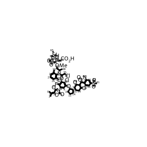 CC(C)=C1OC(=O)N(c2cc(OC3CCCC3)c(Cl)cc2F)C1=O.CCc1cccc(C)c1N(C(=O)CCl)C(C)COC.CS(=O)(=O)c1ccc(C(=O)C2C(=O)CCCC2=O)c([N+](=O)[O-])c1.C[S+](C)C.O=C(O)CNCP(=O)([O-])O